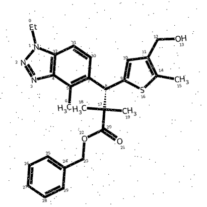 CCn1nnc2c(C)c([C@H](c3cc(CO)c(C)s3)C(C)(C)C(=O)OCc3ccccc3)ccc21